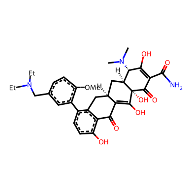 CCN(CC)Cc1ccc(OC)c(-c2ccc(O)c3c2C[C@H]2C[C@H]4[C@H](N(C)C)C(O)=C(C(N)=O)C(=O)[C@@]4(O)C(O)=C2C3=O)c1